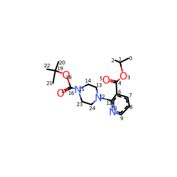 CC(C)OC(=O)c1cccnc1N1CCN(C(=O)OC(C)(C)C)CC1